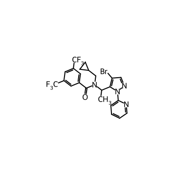 CC(c1c(Br)cnn1-c1ccccn1)N(CC1CC1)C(=O)c1cc(C(F)(F)F)cc(C(F)(F)F)c1